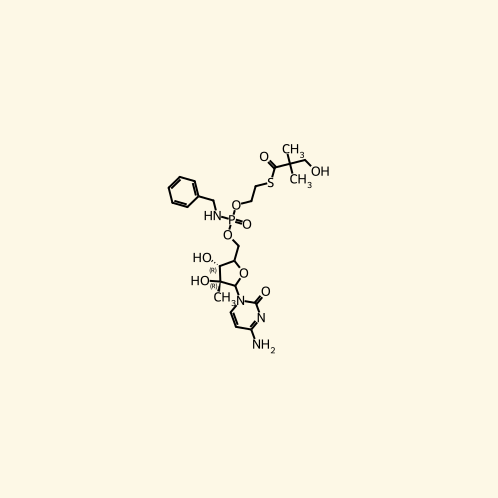 CC(C)(CO)C(=O)SCCOP(=O)(NCc1ccccc1)OCC1OC(n2ccc(N)nc2=O)[C@](C)(O)[C@@H]1O